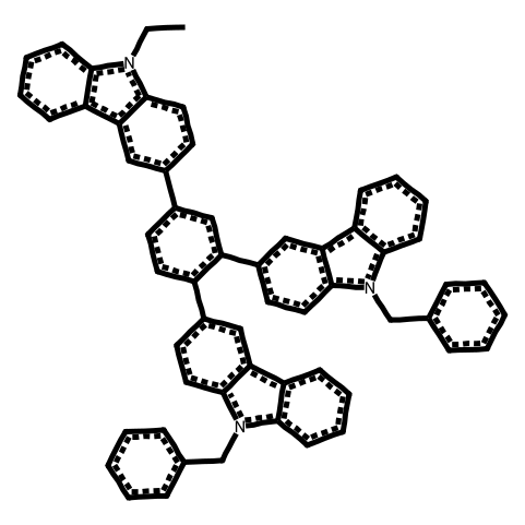 CCn1c2ccccc2c2cc(-c3ccc(-c4ccc5c(c4)c4ccccc4n5Cc4ccccc4)c(-c4ccc5c(c4)c4ccccc4n5Cc4ccccc4)c3)ccc21